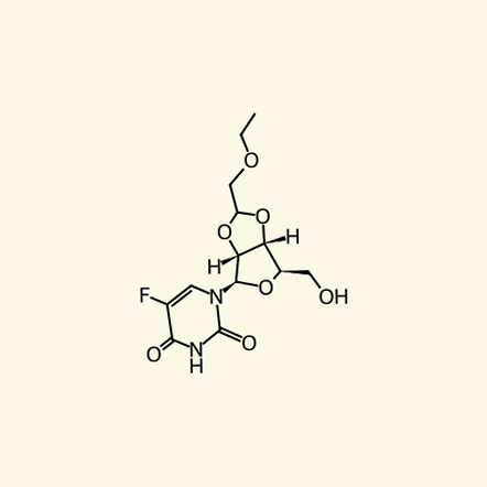 CCOCC1O[C@@H]2[C@H](O1)[C@@H](CO)O[C@H]2n1cc(F)c(=O)[nH]c1=O